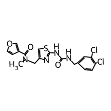 CN(Cc1csc(NC(=O)NCc2ccc(Cl)c(Cl)c2)n1)C(=O)c1ccoc1